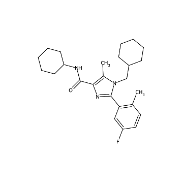 Cc1ccc(F)cc1-c1nc(C(=O)NC2CCCCC2)c(C)n1CC1CCCCC1